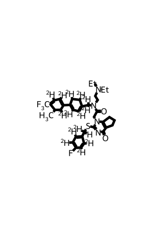 [2H]C1=C(C2=C([2H])C([2H])=C(C(F)(F)F)C(C)C2[2H])C([2H])C([2H])C(C([2H])([2H])N(CCN(CC)CC)C(=O)Cn2c(SC([2H])([2H])c3c([2H])c([2H])c(F)c([2H])c3[2H])nc(=O)c3c2CCC3)=C1[2H]